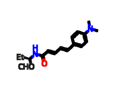 CC[C@H](C=O)NC(=O)/C=C/C=C/c1ccc(N(C)C)cc1